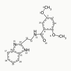 COc1ccc(OC)c(C(=O)NCCc2nc3ccccc3[nH]2)c1